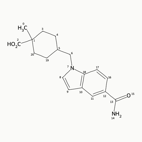 CC1(C(=O)O)CCC(Cn2ccc3cc(C(N)=O)ccc32)CC1